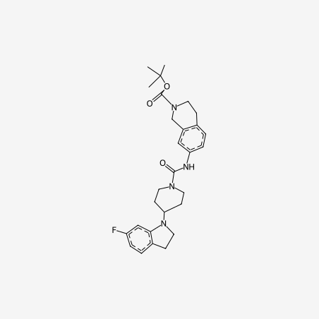 CC(C)(C)OC(=O)N1CCc2ccc(NC(=O)N3CCC(N4CCc5ccc(F)cc54)CC3)cc2C1